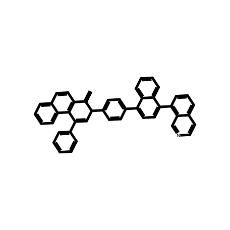 C=C1c2ccc3ccccc3c2C(c2ccccc2)=CC1c1ccc(-c2ccc(-c3cccc4ccncc34)c3ccccc23)cc1